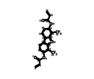 C=CC(=O)Oc1ccc2c(oc3c(C(F)(F)F)c(OC(=O)C=C)ccc32)c1C(F)(F)F